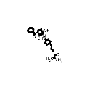 C=C(C)C(=O)OCCCc1ccc(N=Nc2c(O)ccc(C(=O)c3ccccc3)c2O)cc1